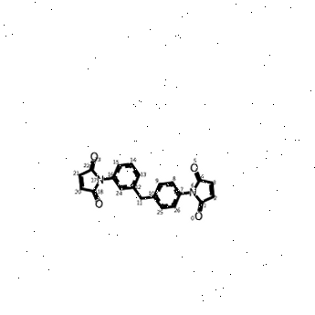 O=C1C=CC(=O)N1c1ccc(Cc2cccc(N3C(=O)C=CC3=O)c2)cc1